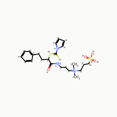 C[N+](C)(CCCNC(=O)C(CCc1ccccc1)SC(=S)n1cccc1)CCCS(=O)(=O)[O-]